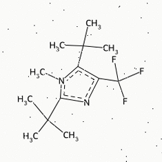 Cn1c(C(C)(C)C)nc(C(F)(F)F)c1C(C)(C)C